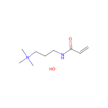 C=CC(=O)NCCC[N+](C)(C)C.[OH-]